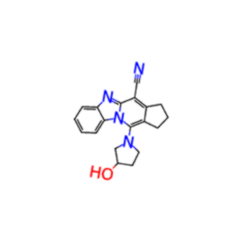 N#Cc1c2c(c(N3CCC(O)C3)n3c1nc1ccccc13)CCC2